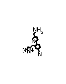 CN(C)c1cc(Cc2cc(C#N)ccc2-c2ccc(CCN)cn2)n(C)n1